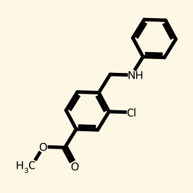 COC(=O)c1ccc(CNc2ccccc2)c(Cl)c1